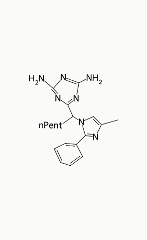 CCCCCC(c1nc(N)nc(N)n1)n1cc(C)nc1-c1ccccc1